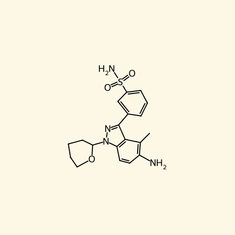 Cc1c(N)ccc2c1c(-c1cccc(S(N)(=O)=O)c1)nn2C1CCCCO1